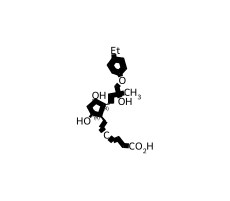 CCc1ccc(OCC(C)(O)C=C[C@@H]2[C@@H](CC=C=CCCC(=O)O)[C@@H](O)C[C@H]2O)cc1